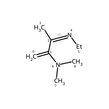 C=C(/C(C)=N\CC)N(C)C